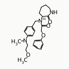 COCCN(C)c1ccc(CN(C(=O)COc2ccccc2)[C@H]2CCCCNC2=O)cc1